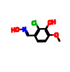 COc1ccc(/C=N/O)c(Cl)c1O